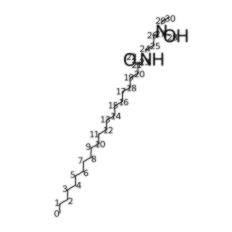 CCCCCCCCCCCCCCCCCCCCCC(=O)NCCCN(O)CC